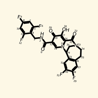 O=C(NCc1c(F)cc(F)cc1F)c1cn2c(c(O)c1=O)C(=O)N1CCc3cc(F)c(F)cc3C2C1